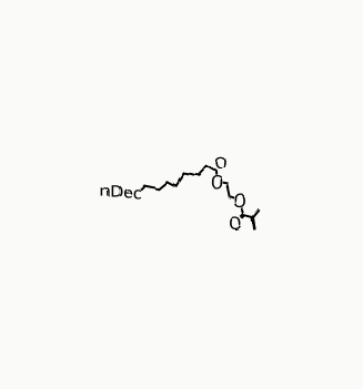 C=C(C)C(=O)OCCOC(=O)CCCCCCCCCCCCCCCCC